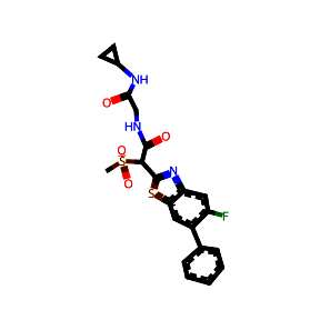 CS(=O)(=O)C(C(=O)NCC(=O)NC1CC1)c1nc2cc(F)c(-c3ccccc3)cc2s1